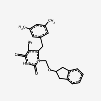 Cc1cc(C)cc(Cc2c(C(C)C)c(=O)[nH]c(=O)n2COC2Cc3ccccc3C2)c1